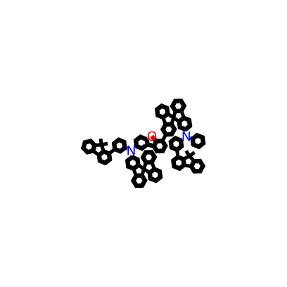 CC1(C)c2ccccc2-c2cccc(-c3cccc(N(c4ccccc4)c4ccc5c(c4)C4(c6ccccc6-c6cc(-c7cccc8c7oc7ccc(N(c9cccc(-c%10cccc%11c%10C(C)(C)c%10ccccc%10-%11)c9)c9ccc%10c(c9)C9(c%11ccccc%11-c%11ccccc%119)c9ccccc9-%10)cc78)ccc64)c4ccccc4-5)c3)c21